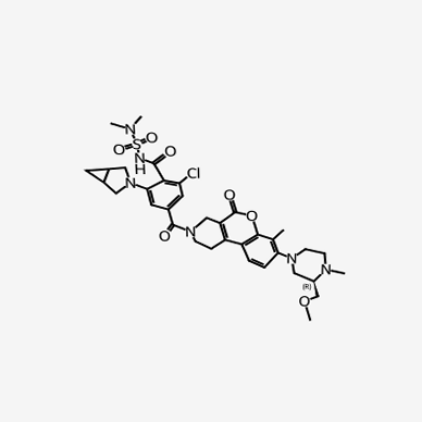 COC[C@H]1CN(c2ccc3c4c(c(=O)oc3c2C)CN(C(=O)c2cc(Cl)c(C(=O)NS(=O)(=O)N(C)C)c(N3CC5CC5C3)c2)CC4)CCN1C